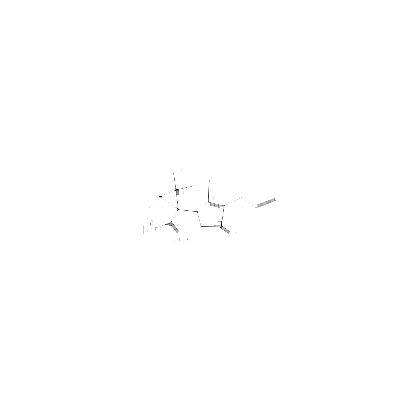 C=CCC1=C(C)C(C2(C(=O)O)C(C)(C)C2(C)C)CC1=O